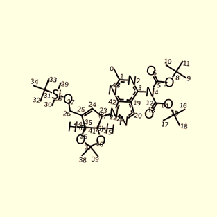 Cc1nc(N(C(=O)OC(C)(C)C)C(=O)OC(C)(C)C)c2cnn([C@@H]3C=C(CO[Si](C)(C)C(C)(C)C)[C@H]4OC(C)(C)O[C@H]43)c2n1